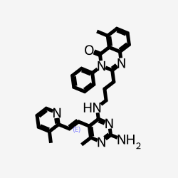 Cc1cccnc1/C=C/c1c(C)nc(N)nc1NCCCc1nc2cccc(C)c2c(=O)n1-c1ccccc1